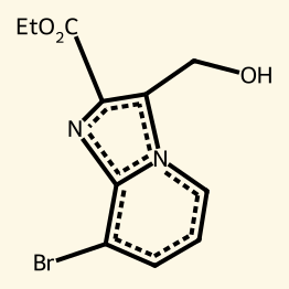 CCOC(=O)c1nc2c(Br)cccn2c1CO